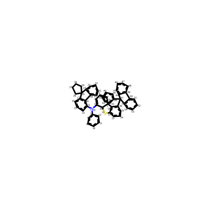 CC12C=CC=C(N(c3ccccc3)c3cccc4c3-c3ccccc3C43CCCC3)C1Sc1cccc(C3(c4ccccc4)c4ccccc4-c4ccccc43)c12